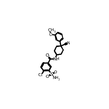 COc1cccc(C2(C#N)CCC(NC(=O)c3ccc(Cl)c(S(N)(=O)=O)c3)CC2)c1